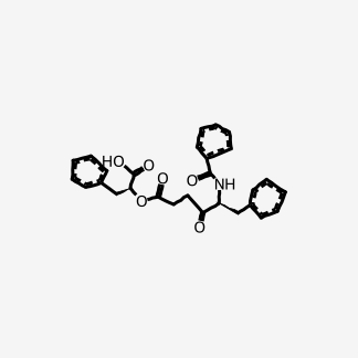 O=C(CCC(=O)[C@H](Cc1ccccc1)NC(=O)c1ccccc1)O[C@@H](Cc1ccccc1)C(=O)O